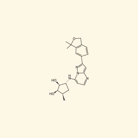 [CH2][C@@H]1C[C@@H](Nc2ccnc3cc(-c4ccc5c(c4)C(C)(C)OC5)nn23)[C@H](O)[C@@H]1O